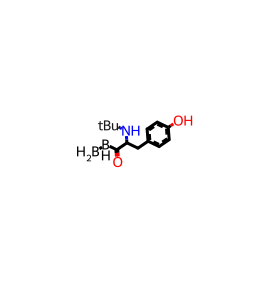 BBC(=O)C(Cc1ccc(O)cc1)NC(C)(C)C